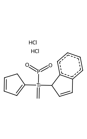 Cl.Cl.[CH2]=[Ti]([C]1=CC=CC1)([CH]1C=Cc2ccccc21)[P](=O)=O